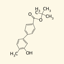 Cc1ccc(-c2ccc(C(=O)OC(C)(C)C)cc2)cc1O